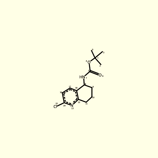 CC(C)(C)OC(=O)NC1CCCc2nc(Cl)ccc21